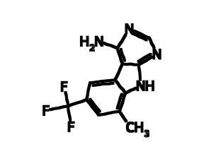 Cc1cc(C(F)(F)F)cc2c1[nH]c1ncnc(N)c12